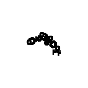 O=S(=O)(c1ccc(OC(F)F)cc1)N1CCOC2(CN(C3CCOCC3)C2)C1